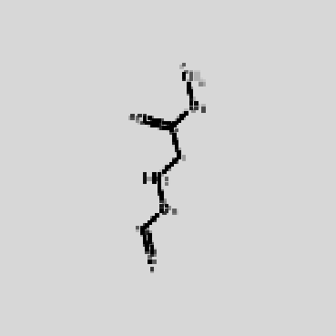 COC(=O)CNO[C]=O